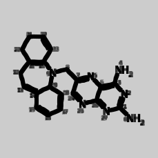 Nc1nc(N)c2nc(CN3C4=C(CC=C5C=CC=CC53)CCC=C4)cnc2n1